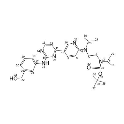 CC(C)N(CCN(c1ccc(-c2ccnc(Nc3cccc(CO)c3)n2)cn1)C(C)C)C(=O)OC(C)(C)C